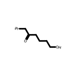 CC(C)CC(=O)CCCCO